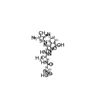 Cc1c(C#N)sc(/N=N/c2c(-c3ccccc3C(=O)O)nn3nc(C(C)CNC(=O)CCS(=O)(=O)O)[nH]c23)c1C#N